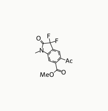 COC(=O)c1cc2c(cc1C(C)=O)C(F)(F)C(=O)N2C